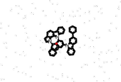 c1ccc(-c2cc(-n3c4ccccc4c4ccc(-c5ccccc5)cc43)cc(-n3c4ccccc4c4ccc5ccn(-c6ccccc6)c5c43)c2)cc1